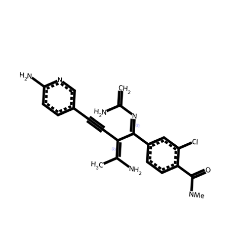 C=C(N)/N=C(\C(C#Cc1ccc(N)nc1)=C(\C)N)c1ccc(C(=O)NC)c(Cl)c1